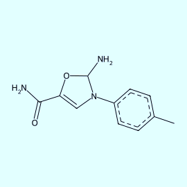 Cc1ccc(N2C=C(C(N)=O)OC2N)cc1